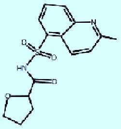 Cc1ccc2c(S(=O)(=O)NC(=O)C3CCCO3)cccc2n1